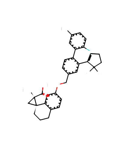 Cc1ccc(F)c(-c2ccc(COc3ccc4c(c3)[C@]3(CCC4)C[C@]3(C)C(=O)O)cc2C2=CCCC2(C)C)c1